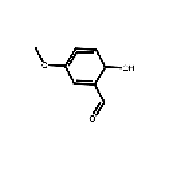 COC1=C=CC(O)C(C=O)=C1